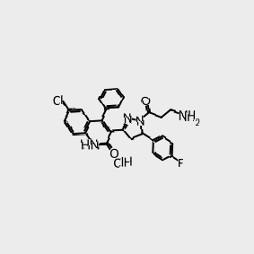 Cl.NCCC(=O)N1N=C(c2c(-c3ccccc3)c3cc(Cl)ccc3[nH]c2=O)CC1c1ccc(F)cc1